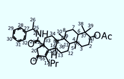 CC(=O)O[C@H]1CC[C@@]2(C)C(CC[C@]3(C)C2CC[C@@H]2C4=C(C(C)C)C(=O)C[C@]4(C(=O)NC(C)c4ccccc4)CC[C@]23C)C1(C)C